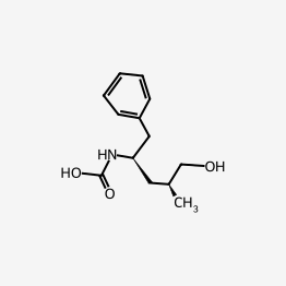 C[C@H](CO)C[C@H](Cc1ccccc1)NC(=O)O